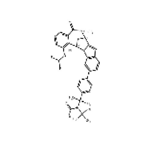 CC(C)(C)N(C(=O)O)C(C)(C)c1ncc(-c2ccc3nc4n(c3c2)[C@@H]2C[C@@]4(C)NC(=O)c3cccc(OC(F)F)c32)cn1